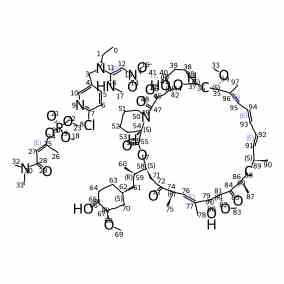 CCN(Cc1ccc(Cl)nc1)/C(=C/[N+](=O)[O-])NC.COP(=O)(OC)O/C(C)=C/C(=O)N(C)C.CO[C@H]1C[C@@H]2CC[C@@H](C)[C@@](O)(O2)C(=O)C(=O)N2CCCC[C@H]2C(=O)O[C@H]([C@H](C)C[C@@H]2CC[C@@H](O)[C@H](OC)C2)CC(=O)[C@H](C)/C=C(\C)[C@@H](O)[C@@H](OC)C(=O)[C@H](C)C[C@H](C)/C=C/C=C/C=C/1C